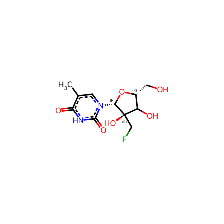 Cc1cn([C@@H]2O[C@H](CO)C(O)[C@]2(O)CF)c(=O)[nH]c1=O